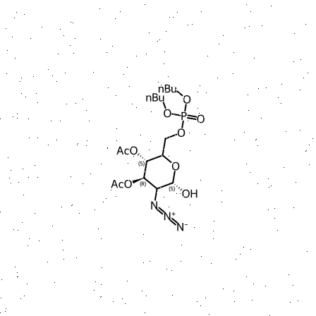 CCCCOP(=O)(OCCCC)OCC1O[C@H](O)C(N=[N+]=[N-])[C@@H](OC(C)=O)[C@@H]1OC(C)=O